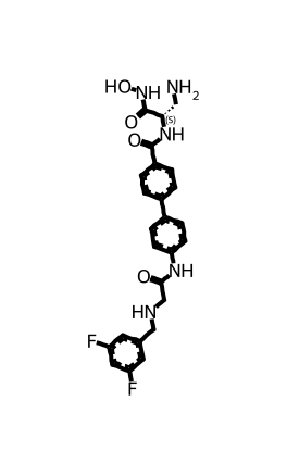 NC[C@H](NC(=O)c1ccc(-c2ccc(NC(=O)CNCc3cc(F)cc(F)c3)cc2)cc1)C(=O)NO